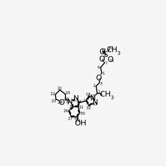 CC(CCOCCCOS(C)(=O)=O)n1cc(-c2nn(C3CCCCO3)c3ccc(O)cc23)cn1